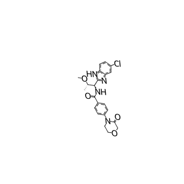 CO[C@@H](C)[C@H](NC(=O)c1ccc(N2CCOCC2=O)cc1)c1nc2cc(Cl)ccc2[nH]1